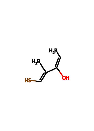 B/C=C(O)\C(B)=C\S